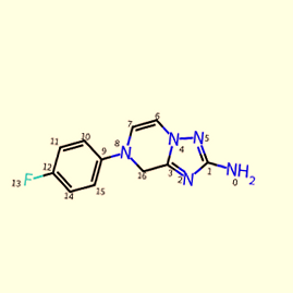 Nc1nc2n(n1)C=CN(c1ccc(F)cc1)C2